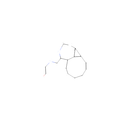 C[C@@H](CO)NCC1NCCC2C3CCCCCCC1C32